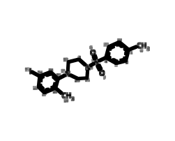 Cc1ccc(S(=O)(=O)N2CCN(c3cc(I)ccc3C)CC2)cc1